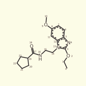 CCOc1nc2ccc(OC)cc2n1CCNC(=O)C1CCCC1